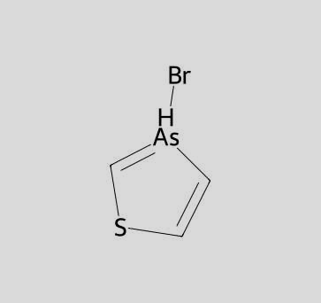 Br[AsH]1=CSC=C1